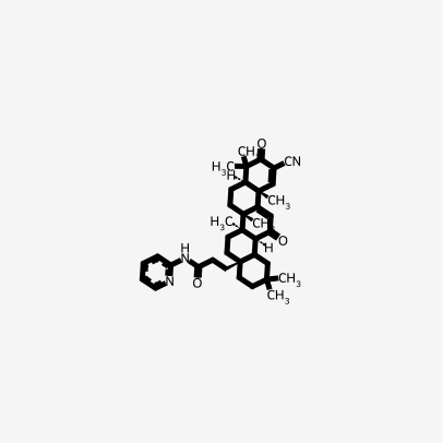 CC1(C)CC[C@]2(CCC(=O)Nc3ccccn3)CC[C@]3(C)[C@@H](C(=O)C=C4[C@@]5(C)C=C(C#N)C(=O)C(C)(C)[C@@H]5CC[C@]43C)C2C1